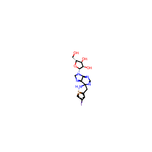 NC1(Cc2cc(I)cs2)N=CN=C2C1=NCN2[C@@H]1O[C@H](CO)[C@@H](O)[C@H]1O